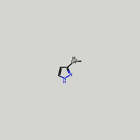 [CH3][GeH2][c]1cc[nH]n1